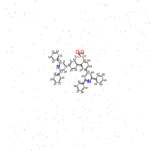 O=S1(=O)Cc2cc(-c3cc(-c4ccccc4)nc(-c4ccccc4)c3)ccc2-c2cc(-c3cc(-c4ccccc4)nc(-c4ccccc4)c3)ccc2C1